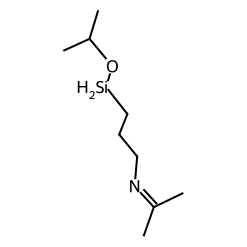 CC(C)=NCCC[SiH2]OC(C)C